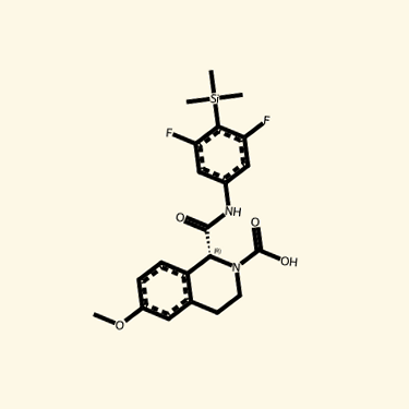 COc1ccc2c(c1)CCN(C(=O)O)[C@H]2C(=O)Nc1cc(F)c([Si](C)(C)C)c(F)c1